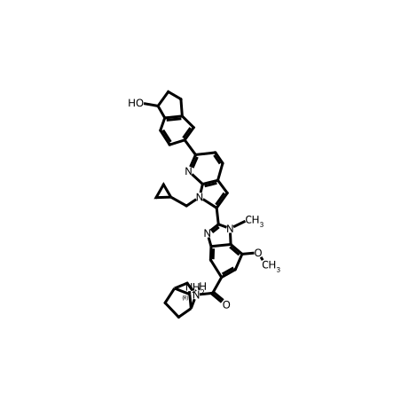 COc1cc(C(=O)N2CC3CCC2[C@@H]3N)cc2nc(-c3cc4ccc(-c5ccc6c(c5)CCC6O)nc4n3CC3CC3)n(C)c12